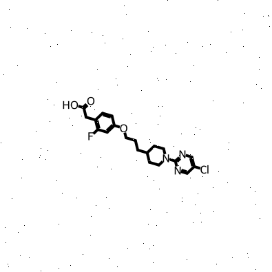 O=C(O)Cc1ccc(OCCCC2CCN(c3ncc(Cl)cn3)CC2)cc1F